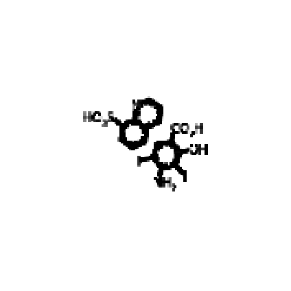 Nc1c(I)cc(C(=O)O)c(O)c1I.O=S(=O)(O)c1cccc2cccnc12